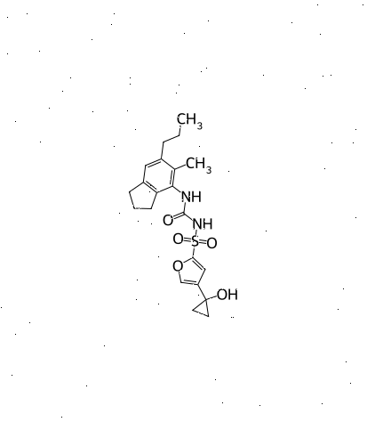 CCCc1cc2c(c(NC(=O)NS(=O)(=O)c3cc(C4(O)CC4)co3)c1C)CCC2